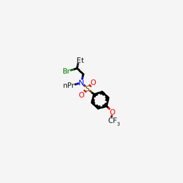 CCCN(CC(Br)CC)S(=O)(=O)c1ccc(OC(F)(F)F)cc1